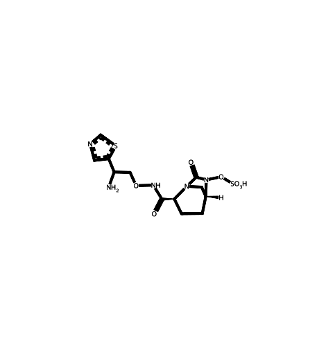 NC(CONC(=O)[C@@H]1CC[C@@H]2CN1C(=O)N2OS(=O)(=O)O)c1cncs1